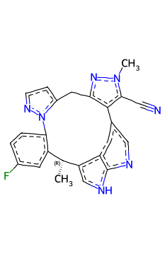 C[C@@H]1c2cc(F)ccc2-n2nccc2Cc2nn(C)c(C#N)c2-c2cnc3[nH]cc1c3c2